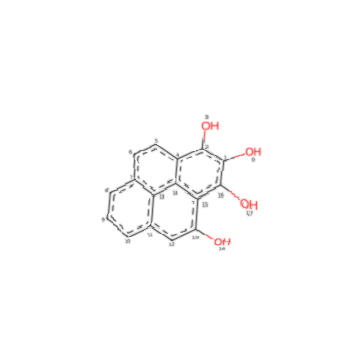 Oc1c(O)c2ccc3cccc4cc(O)c(c1O)c2c34